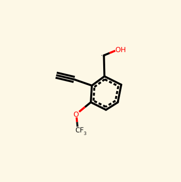 C#Cc1c([CH]O)cccc1OC(F)(F)F